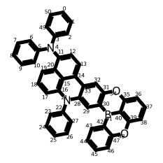 c1ccc(N(c2ccccc2)c2ccc3c4c(cccc24)N(c2ccccc2)c2cc4c(cc2-3)Oc2cccc3c2B4c2ccccc2O3)cc1